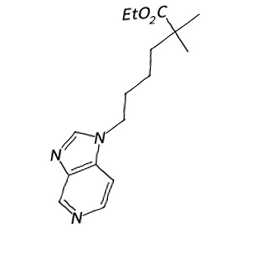 CCOC(=O)C(C)(C)CCCCn1cnc2cnccc21